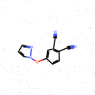 N#Cc1ccc(On2cc[c]n2)cc1C#N